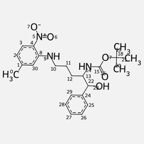 Cc1ccc([N+](=O)[O-])c(NCCCC(NC(=O)OC(C)(C)C)C(O)c2ccccc2)c1